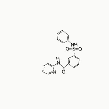 O=C(Nc1ccccn1)c1cccc(S(=O)(=O)Nc2ccccc2)c1